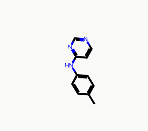 Cc1ccc(Nc2ccn[c]n2)cc1